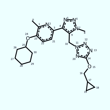 Cc1nc(-c2nnn(C)c2Cn2nnc(OCC3CC3)n2)ccc1OC1CCCCC1